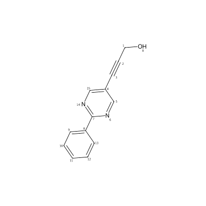 OCC#Cc1cnc(-c2ccccc2)nc1